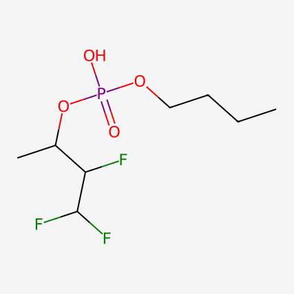 CCCCOP(=O)(O)OC(C)C(F)C(F)F